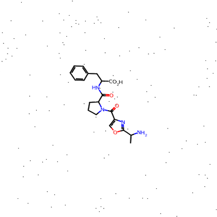 CC(N)c1nc(C(=O)N2CCCC2C(=O)NC(Cc2ccccc2)C(=O)O)co1